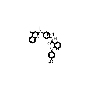 COc1ccc(Oc2ncccc2C(=O)NC2CCC(Nc3cc(C)c4ccccc4n3)CC2)cc1.Cl